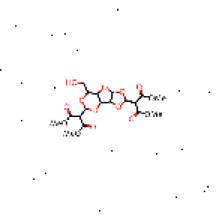 COC(=O)C(C(=O)OC)C1OC2OC3C(CO)OC(C(C(=O)OC)C(=O)OC)OC3C2O1